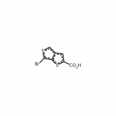 O=C(O)c1cc2csc(Br)c2s1